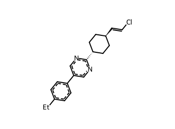 CCc1ccc(-c2cnc([C@H]3CC[C@H](/C=C/Cl)CC3)nc2)cc1